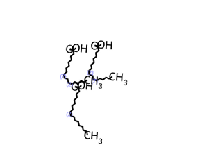 CCCCC/C=C\C/C=C\CCCCCCCC(=O)O.CCCCC/C=C\C/C=C\CCCCCCCC(=O)O.CCCCCCCC/C=C\CCCCCCCC(=O)O